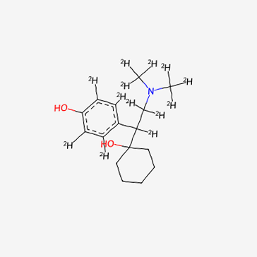 [2H]c1c([2H])c(C([2H])(C2(O)CCCCC2)C([2H])([2H])N(C([2H])([2H])[2H])C([2H])([2H])[2H])c([2H])c([2H])c1O